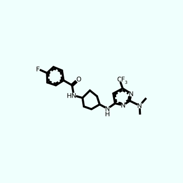 CN(C)c1nc(NC2CCC(NC(=O)c3ccc(F)cc3)CC2)cc(C(F)(F)F)n1